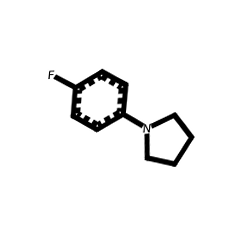 Fc1ccc(N2CCCC2)cc1